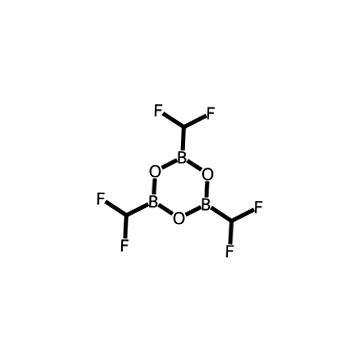 FC(F)B1OB(C(F)F)OB(C(F)F)O1